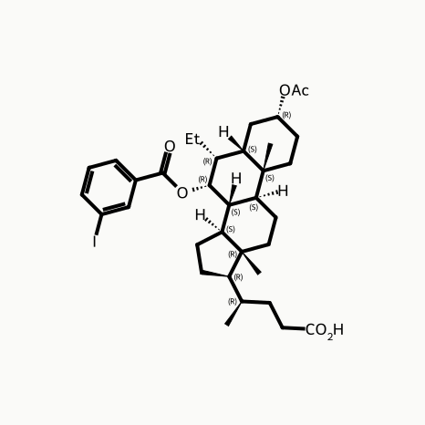 CC[C@H]1[C@@H](OC(=O)c2cccc(I)c2)[C@@H]2[C@H](CC[C@]3(C)[C@@H]([C@H](C)CCC(=O)O)CC[C@@H]23)[C@@]2(C)CC[C@@H](OC(C)=O)C[C@@H]12